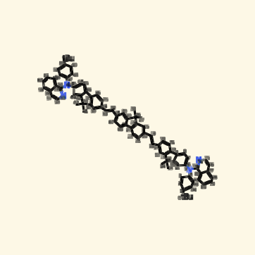 CC(C)(C)c1ccc(N(c2ccc3c(c2)C(C)(C)c2cc(/C=C/c4ccc5c(c4)C(C)(C)c4cc(/C=C/c6ccc7c(c6)C(C)(C)c6cc(N(c8ccc(C(C)(C)C)cc8)c8nccc9ccccc89)ccc6-7)ccc4-5)ccc2-3)c2nccc3ccccc23)cc1